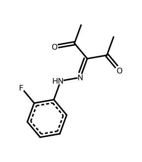 CC(=O)C(=NNc1ccccc1F)C(C)=O